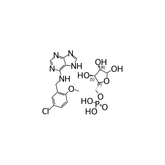 COc1ccc(Cl)cc1CNc1ncnc2nc[nH]c12.O=P(O)(O)OC[C@H]1OC(O)[C@H](O)[C@@H]1O